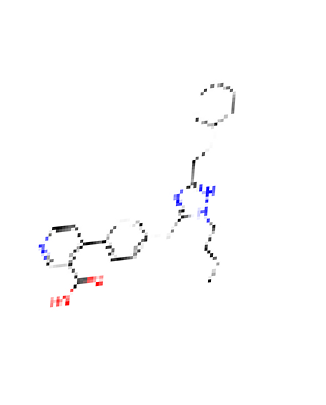 CCCCn1nc(CCC2CCCCC2)nc1Cc1ccc(-c2ccncc2C(=O)O)cc1